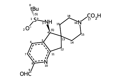 CC(C)(C)[S@@+]([O-])N[C@@H]1c2ccc(C=O)nc2CC12CCN(C(=O)O)CC2